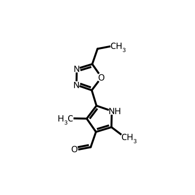 CCc1nnc(-c2[nH]c(C)c(C=O)c2C)o1